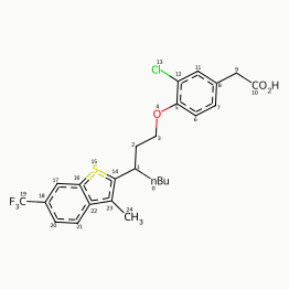 CCCCC(CCOc1ccc(CC(=O)O)cc1Cl)c1sc2cc(C(F)(F)F)ccc2c1C